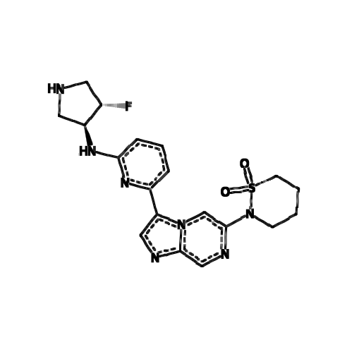 O=S1(=O)CCCCN1c1cn2c(-c3cccc(N[C@H]4CNC[C@@H]4F)n3)cnc2cn1